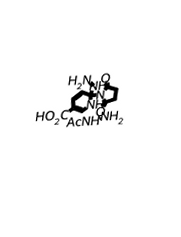 CC(=O)NN.NNC1(N2C(=O)CCC2=O)C=CC(C(=O)O)=CN1